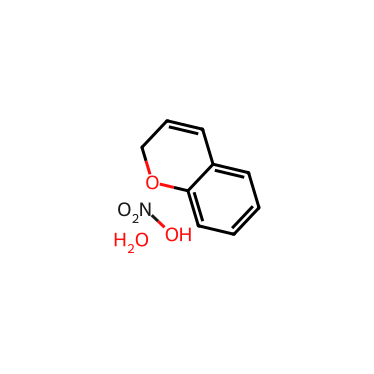 C1=Cc2ccccc2OC1.O.O=[N+]([O-])O